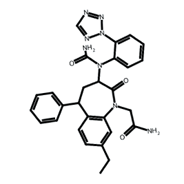 CCc1ccc2c(c1)N(CC(N)=O)C(=O)C(N(C(N)=O)c1ccccc1-n1ncnn1)CC2c1ccccc1